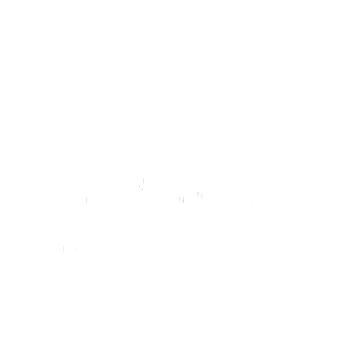 OC[C@H](O)CNc1nnc(-c2c(O)cc(F)cc2F)c2ccccc12